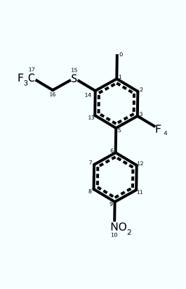 Cc1cc(F)c(-c2ccc([N+](=O)[O-])cc2)cc1SCC(F)(F)F